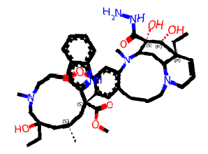 CCC1(O)C[C@@H](C)C[C@](C(=O)OC)(c2cc3c(cc2OC)N(C)C2CC4N(CC=C[C@@]4(CC)[C@@H](O)[C@]2(O)C(=O)NN)CCC3)c2[nH]c3ccccc3c2CCN(C)C1